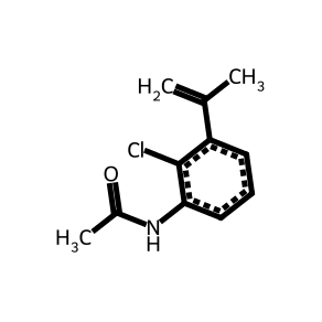 C=C(C)c1cccc(NC(C)=O)c1Cl